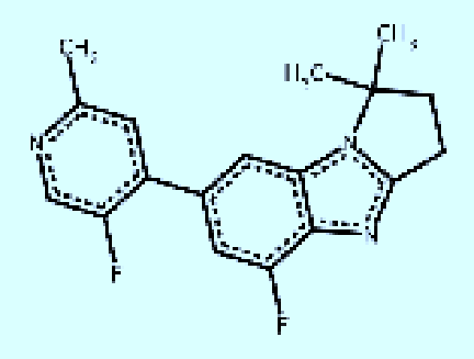 Cc1cc(-c2cc(F)c3nc4n(c3c2)C(C)(C)CC4)c(F)cn1